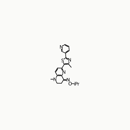 Cc1nc(-c2cccnc2)sc1-c1ccc2c(n1)/C(=N/OC(C)C)CCN2C